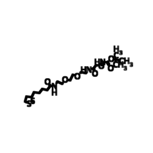 CC(C)(C)OC(=O)NOCC(=O)NCCOCCOCCNC(=O)CCCCC1CCSS1